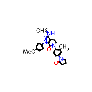 COc1ccc(-n2nc(NC=O)c3c2C(=O)N(c2ccc(N4CCCC4=O)cc2C)CC3)cc1